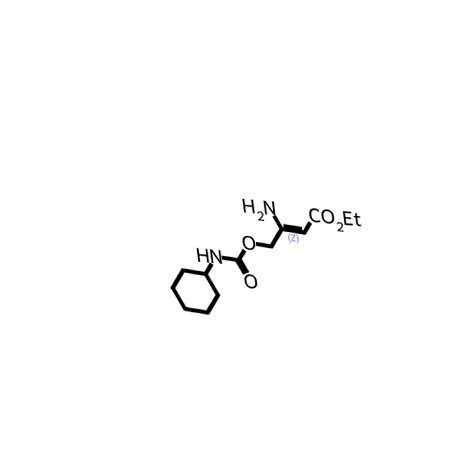 CCOC(=O)/C=C(\N)COC(=O)NC1CCCCC1